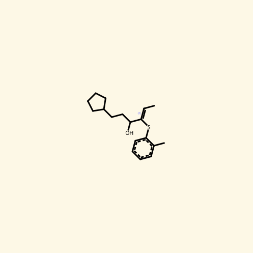 C/C=C(\Sc1ccccc1C)C(O)CCC1CCCC1